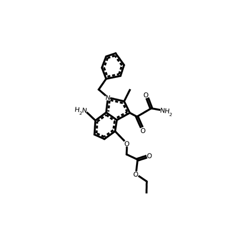 CCOC(=O)COc1ccc(N)c2c1c(C(=O)C(N)=O)c(C)n2Cc1ccccc1